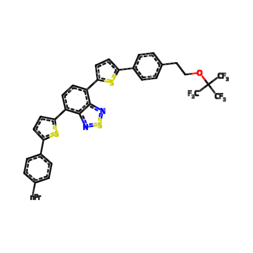 CCCc1ccc(-c2ccc(-c3ccc(-c4ccc(-c5ccc(CCOC(C(F)(F)F)(C(F)(F)F)C(F)(F)F)cc5)s4)c4nsnc34)s2)cc1